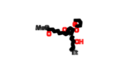 CCC=CC[C@H](O)C=C[C@@H]1c2cc(CCCCC(=O)OC)oc2C[C@H]1OC1CCCCO1